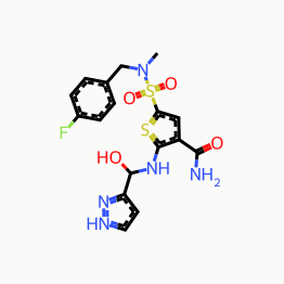 CN(Cc1ccc(F)cc1)S(=O)(=O)c1cc(C(N)=O)c(NC(O)c2cc[nH]n2)s1